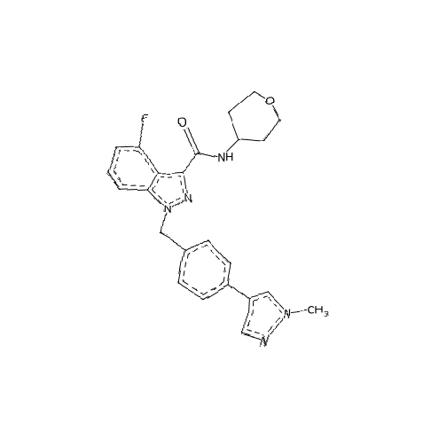 Cn1cc(-c2ccc(Cn3nc(C(=O)NC4CCOCC4)c4c(F)cccc43)cc2)cn1